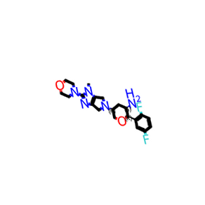 Cn1c(N2CCOCC2)nc2c1CN([C@H]1CO[C@H](c3cc(F)ccc3F)[C@@H](N)C1)C2